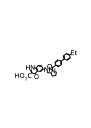 CCc1ccc(-c2ccc(C(=O)N3CCCC3CNc3ccc4[nH]cc(C(=O)O)c(=O)c4c3)cc2)cc1